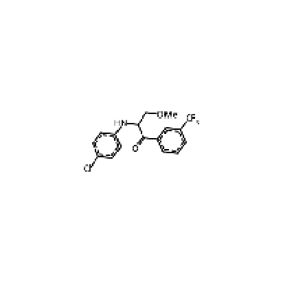 COCC(Nc1ccc(Cl)cc1)C(=O)c1cccc(C(F)(F)F)c1